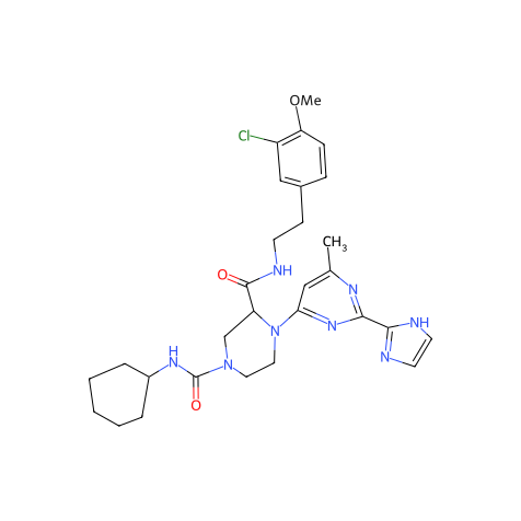 COc1ccc(CCNC(=O)C2CN(C(=O)NC3CCCCC3)CCN2c2cc(C)nc(-c3ncc[nH]3)n2)cc1Cl